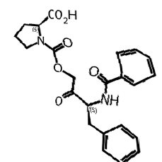 O=C(N[C@@H](Cc1ccccc1)C(=O)COC(=O)N1CCC[C@H]1C(=O)O)c1ccccc1